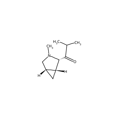 CC(C)C(=O)[C@@H]1[C@@H]2C[C@@H]2CN1C